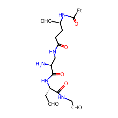 CCC(=O)N[C@H](C=O)CCC(=O)NC[C@H](N)C(=O)N[C@@H](CC=O)C(=O)NCC=O